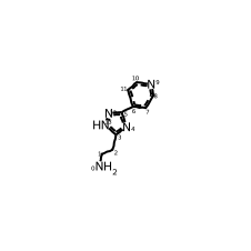 NCCc1nc(-c2ccncc2)n[nH]1